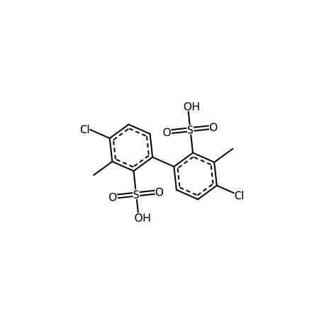 Cc1c(Cl)ccc(-c2ccc(Cl)c(C)c2S(=O)(=O)O)c1S(=O)(=O)O